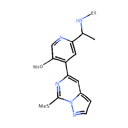 CCNC(C)c1cc(-c2cc3ccnn3c(SC)n2)c(OC)cn1